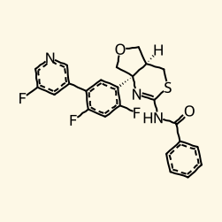 O=C(NC1=N[C@@]2(c3cc(-c4cncc(F)c4)c(F)cc3F)COC[C@H]2CS1)c1ccccc1